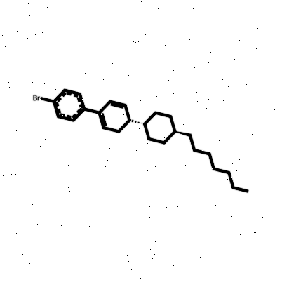 CCCCCCC[C@H]1CC[C@H](C2C=CC(c3ccc(Br)cc3)=CC2)CC1